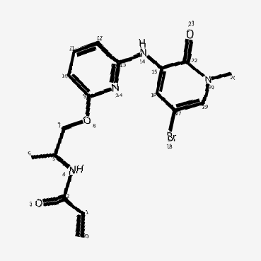 C=CC(=O)NC(C)COc1cccc(Nc2cc(Br)cn(C)c2=O)n1